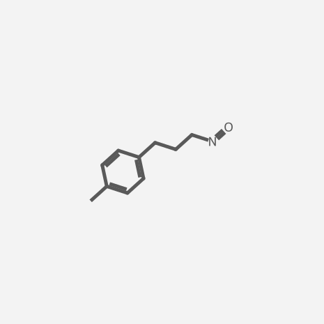 Cc1ccc(CCCN=O)cc1